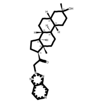 C[C@@]1(O)CC[C@H]2[C@H](CC[C@@H]3[C@@H]2CC[C@]2(C)[C@@H](C(=O)Cn4nc5ccncc5n4)CC[C@@H]32)C1